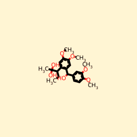 CCC(c1cc(OC)c(OC)cc1C(O)c1ccc(OC)c(OC)c1)C(C)(O)O